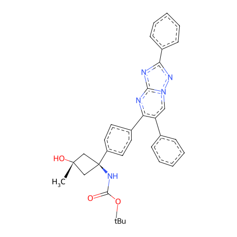 CC(C)(C)OC(=O)N[C@]1(c2ccc(-c3nc4nc(-c5ccccc5)nn4cc3-c3ccccc3)cc2)C[C@@](C)(O)C1